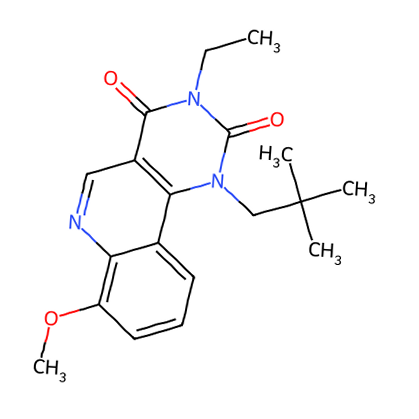 CCn1c(=O)c2cnc3c(OC)cccc3c2n(CC(C)(C)C)c1=O